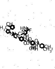 CCc1nc2[nH]cc(F)c2cc1Oc1cc(N2CCC3(CC2)CN([C@@H]2CCC[C@@H]2c2ccccc2C(C)C)C3)ccc1C(=O)NS(=O)(=O)c1cc2c(c([N+](=O)[O-])c1)N[C@@H](C1CCC(C)(C)CC1)CO2